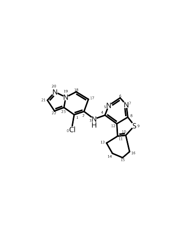 Clc1c(Nc2ncnc3sc4c(c23)CCCC4)ccn2nccc12